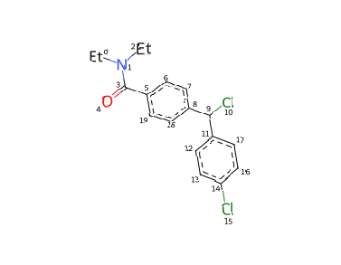 CCN(CC)C(=O)c1ccc(C(Cl)c2ccc(Cl)cc2)cc1